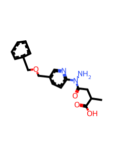 CC(CC(=O)N(N)c1ccc(COCc2ccccc2)cn1)C(=O)O